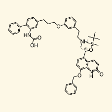 CC(C)(C)[Si](C)(C)O[C@@H](CNCCc1cccc(OCCCc2ccc(-c3ccccc3)c(NC(=O)O)c2)c1)c1ccc(OCc2ccccc2)c2[nH]c(=O)ccc12